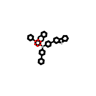 c1ccc(-c2ccc(N(c3ccc(-c4ccc5c(c4)sc4ccccc45)cc3)c3ccc(-c4ccccc4)c4c3C3c5ccccc5C4c4ccccc43)cc2)cc1